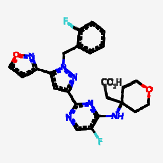 O=C(O)CC1(Nc2nc(-c3cc(-c4ccon4)n(Cc4ccccc4F)n3)ncc2F)CCOCC1